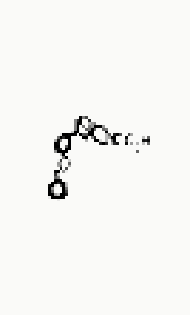 O=C(O)N1CCC2(CC1)CC(c1cccc(OCc3ccccc3)c1)CO2